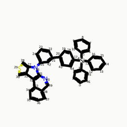 c1ccc([Si](c2ccccc2)(c2ccccc2)c2ccc(-c3cccc(-n4c5cscc5c5c6ccccc6cnc54)c3)cc2)cc1